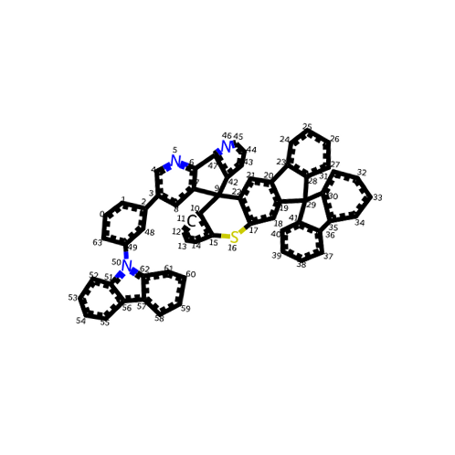 c1cc(-c2cnc3c(c2)C2(c4ccccc4Sc4cc5c(cc42)-c2ccccc2C52c4ccccc4-c4ccccc42)c2cccnc2-3)cc(-n2c3ccccc3c3ccccc32)c1